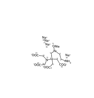 CON(CCN)CC(CC(=O)[O-])(CC(=O)[O-])N(CC(=O)[O-])CC(=O)[O-].[Na+].[Na+].[Na+].[Na+]